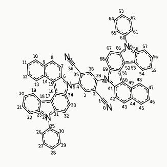 N#Cc1cc(-n2c3ccc4ccccc4c3c3c4c5ccccc5n(-c5ccccc5)c4ccc32)c(C#N)cc1-n1c2ccc3ccccc3c2c2c3c4ccccc4n(-c4ccccc4)c3ccc21